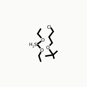 CC(C)(C)OCCCCl.CCO[SiH2]OCC